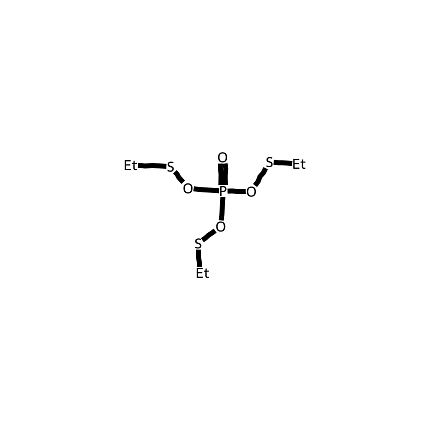 CCSOP(=O)(OSCC)OSCC